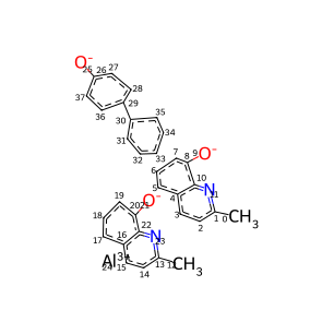 Cc1ccc2cccc([O-])c2n1.Cc1ccc2cccc([O-])c2n1.[Al+3].[O-]c1ccc(-c2ccccc2)cc1